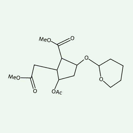 COC(=O)CC1C(OC(C)=O)CC(OC2CCCCO2)C1C(=O)OC